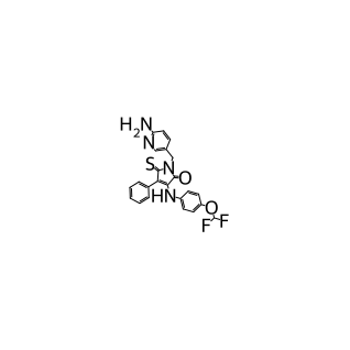 Nc1ccc(CN2C(=O)C(Nc3ccc(OC(F)F)cc3)=C(c3ccccc3)C2=S)cn1